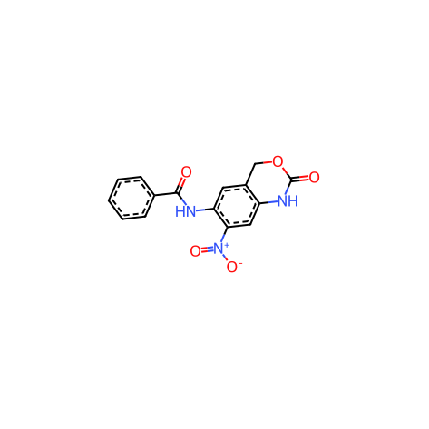 O=C1Nc2cc([N+](=O)[O-])c(NC(=O)c3ccccc3)cc2CO1